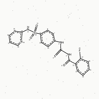 O=C(NC(=S)Nc1ccc(S(=O)(=O)Nc2ncccn2)cc1)c1ccccc1F